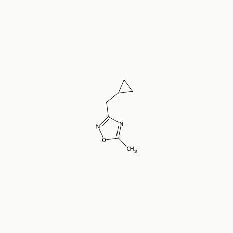 Cc1nc(CC2CC2)no1